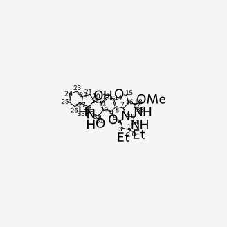 CCC1(CC)CC(=O)N([C@H]2c3cc4c(cc3OC[C@H]2COC)[C@@]2(O)Cc3ccccc3[C@H]2NC4=O)C(=N)N1